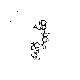 Cn1c(-c2cc3cccnc3n2CC2CC2)nc2cc(C(=O)N3CC[C@@H]4CCN(C(=O)OC(C)(C)C)[C@@H]4C3)cnc21